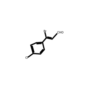 O=C/C=C(\Br)c1ccc(Cl)cc1